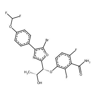 C[C@@H](O)[C@@H](Oc1ccc(F)c(C(N)=O)c1F)c1nc(-c2ccc(OC(F)F)cc2)c(Br)o1